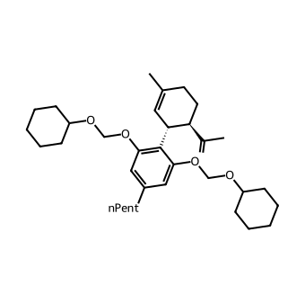 C=C(C)[C@@H]1CCC(C)=C[C@H]1c1c(OCOC2CCCCC2)cc(CCCCC)cc1OCOC1CCCCC1